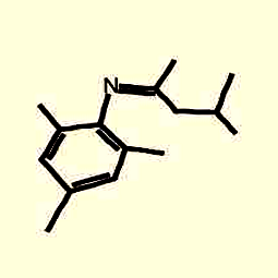 CC(CC(C)C)=Nc1c(C)cc(C)cc1C